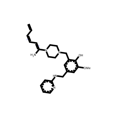 C=C/C=C\C=C(/N)N1CCN(Cc2cc(CNc3ccccn3)cc(OC)c2O)CC1